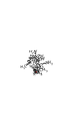 CCCCc1ccc(-c2ncc(C(=O)N[C@@H](CCN)C(=O)N[C@H](C(=O)N[C@@H](C)C(=O)N[C@@H](CCCCN)C(=O)N[C@@H](C)B3OC4C[C@@H]5C[C@@H](C5(C)C)[C@]4(C)O3)[C@@H](C)O)s2)cc1